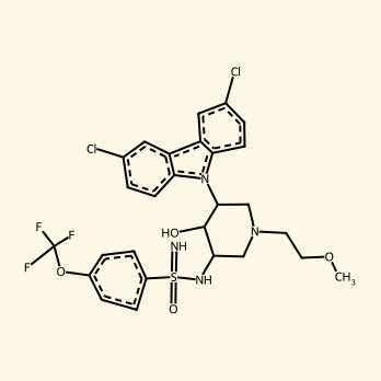 COCCN1CC(NS(=N)(=O)c2ccc(OC(F)(F)F)cc2)C(O)C(n2c3ccc(Cl)cc3c3cc(Cl)ccc32)C1